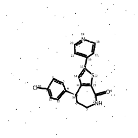 O=C1NCC[C@@H](c2ccc(Cl)cc2)c2cc(-c3ccncc3)sc21